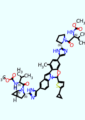 COC(=O)N[C@H](C(=O)N1CCC[C@H]1c1ncc(-c2cc(C)c3c(c2)OC(c2ccc(C4CC4)s2)n2c-3cc3cc(-c4cnc([C@@H]5C[C@H]6C[C@H]6N5C(=O)[C@@H](NC(=O)OC)C(C)C)[nH]4)ccc32)[nH]1)C(C)C